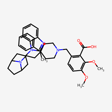 COc1ccc(CN2CCC(CCN3C4CCC3CC(n3c(C)nc5ccccc53)C4)(c3ccccc3)CC2)c(C(=O)O)c1OC